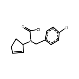 O=C(Cl)N(Cc1ccc(Cl)cc1)C1C=CCC1